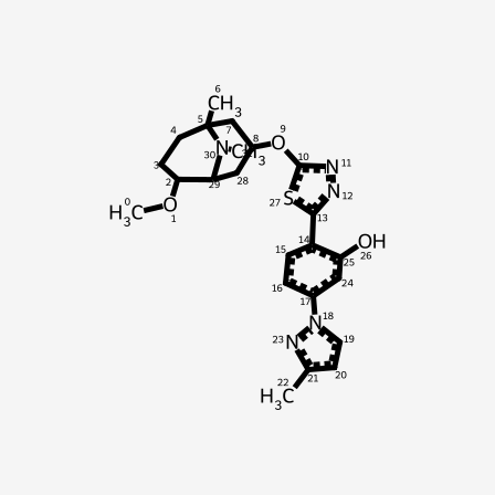 COC1CCC2(C)CC(Oc3nnc(-c4ccc(-n5ccc(C)n5)cc4O)s3)CC1N2C